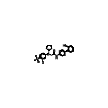 CS(=O)(=O)c1ccc([C@H](CC(=O)Nc2cnc(-c3ccccc3O)cn2)C2CCCC2)cc1Cl